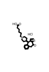 Cl.O=C(O)CCCCCN1CCC(=C2c3ccccc3CC(=O)c3sccc32)CC1